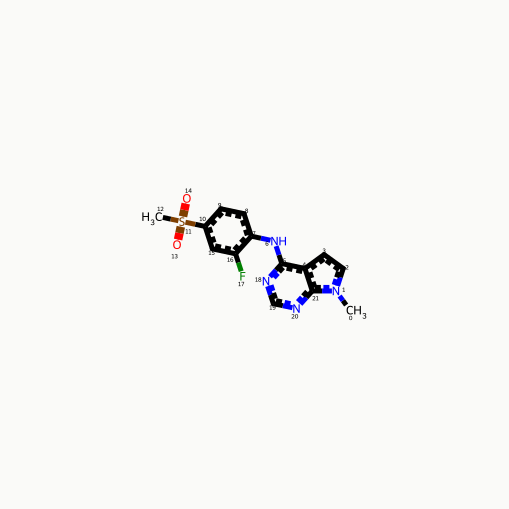 Cn1ccc2c(Nc3ccc(S(C)(=O)=O)cc3F)ncnc21